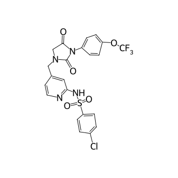 O=C1CN(Cc2ccnc(NS(=O)(=O)c3ccc(Cl)cc3)c2)C(=O)N1c1ccc(OC(F)(F)F)cc1